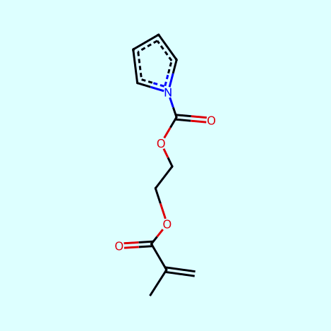 C=C(C)C(=O)OCCOC(=O)n1cccc1